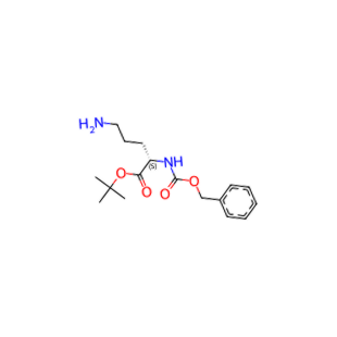 CC(C)(C)OC(=O)[C@H](CCCN)NC(=O)OCc1ccccc1